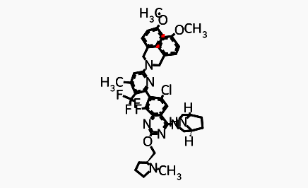 COc1ccc(CN(Cc2ccc(OC)cc2)c2cc(C)c(C(F)(F)F)c(-c3c(Cl)cc4c(N5C[C@@H]6CC[C@@H](C5)N6)nc(OC[C@@H]5CCCN5C)nc4c3F)n2)cc1